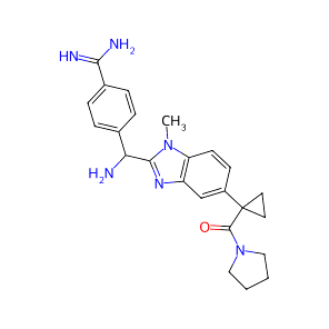 Cn1c(C(N)c2ccc(C(=N)N)cc2)nc2cc(C3(C(=O)N4CCCC4)CC3)ccc21